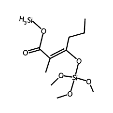 CCCC(O[Si](OC)(OC)OC)=C(C)C(=O)O[SiH3]